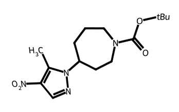 Cc1c([N+](=O)[O-])cnn1C1CCCN(C(=O)OC(C)(C)C)CC1